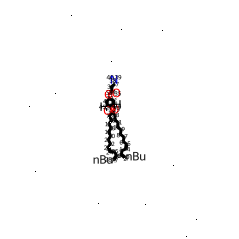 CCCC/C=C\C/C=C\CCCCCCCCC1(CCCCCCCC/C=C\C/C=C\CCCC)O[C@H]2C[C@H](OC(=O)CCN(C)C)C[C@H]2O1